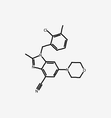 Cc1cccc(Cn2c(C)nc3c(C#N)cc(N4CCOCC4)cc32)c1Cl